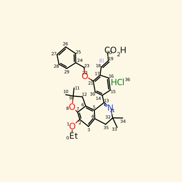 CCOc1cc2c(c3c1OC(C)(C)C3)C(c1ccc(/C=C/C(=O)O)c(OCc3ccccc3)c1)=NC(C)(C)C2.Cl